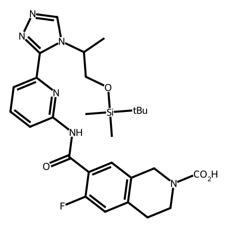 CC(CO[Si](C)(C)C(C)(C)C)n1cnnc1-c1cccc(NC(=O)c2cc3c(cc2F)CCN(C(=O)O)C3)n1